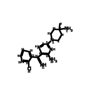 CC1(N)CCN(c2cnc(C(=N)c3cccnc3Cl)c(N)n2)CC1